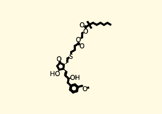 CCCCCCC(C)(C)C(=O)OCCOC(=O)CCCSCC[C@H]1C(=O)C[C@@H](O)[C@@H]1/C=C/[C@@H](O)Cc1cccc(COC)c1